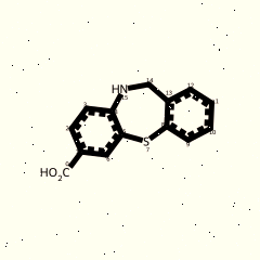 O=C(O)c1ccc2c(c1)Sc1ccccc1CN2